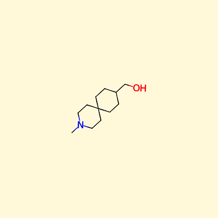 CN1CCC2(CCC(CO)CC2)CC1